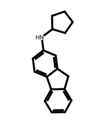 c1ccc2c(c1)Cc1cc(NC3CCCC3)ccc1-2